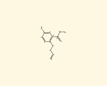 C=CCCc1ccc(F)cc1C(=C)CC